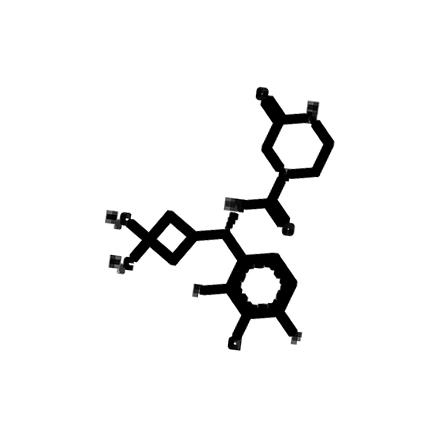 CC1(C)CC([C@H](NC(=O)N2CCNC(=O)C2)c2ccc(F)c(Cl)c2F)C1